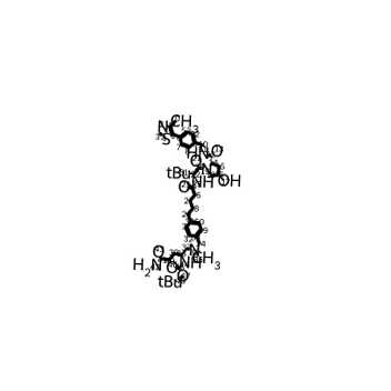 Cc1ncsc1-c1ccc(CNC(=O)[C@@H]2C[C@@H](O)CN2C(=O)[C@@H](NC(=O)CCCCc2ccc(CN(C)C[C@H](CCC(N)=O)NC(=O)OC(C)(C)C)cc2)C(C)(C)C)cc1